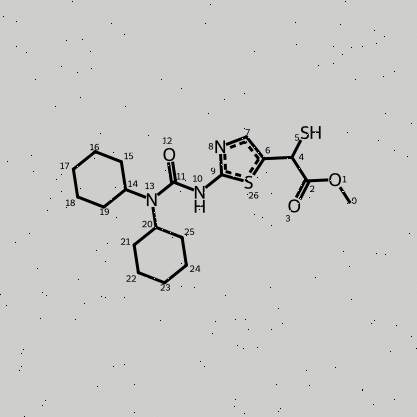 COC(=O)C(S)c1cnc(NC(=O)N(C2CCCCC2)C2CCCCC2)s1